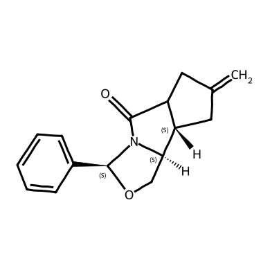 C=C1CC2C(=O)N3[C@H](CO[C@H]3c3ccccc3)[C@H]2C1